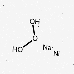 OOO.[Na].[Ni]